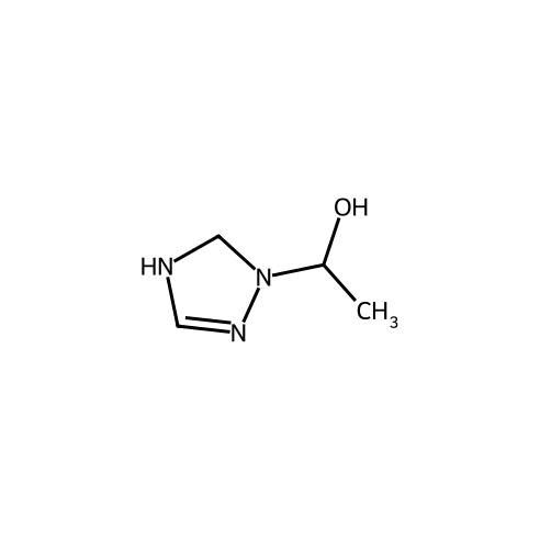 CC(O)N1CNC=N1